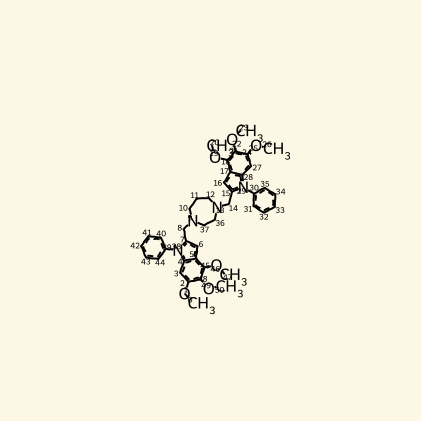 COc1cc2c(cc(CN3CCCN(Cc4cc5c(OC)c(OC)c(OC)cc5n4-c4ccccc4)CC3)n2-c2ccccc2)c(OC)c1OC